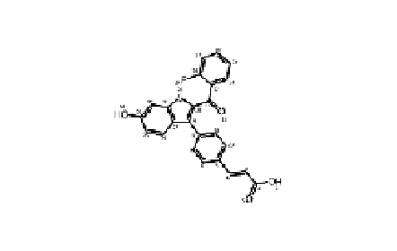 O=C(O)/C=C/c1ccc(-c2c(C(=O)c3ccccc3F)sc3cc(O)ccc23)cc1